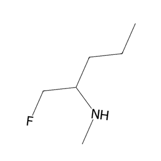 CCCC(CF)NC